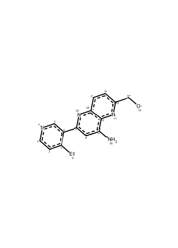 CCc1ccncc1-c1cc(N)c2nc(C[O])ccc2n1